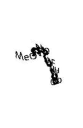 COc1ccc2ncc3c(c2n1)C(CN1CC[C@@H](NCc2cc4c(cn2)OCCO4)[C@@H](F)C1)CO3